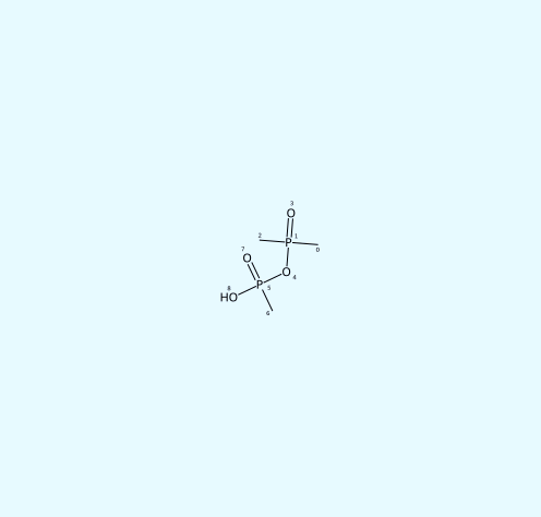 CP(C)(=O)OP(C)(=O)O